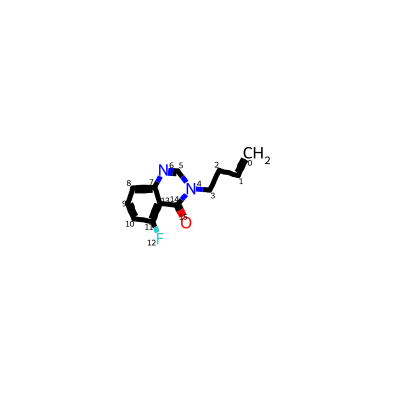 C=CCCn1cnc2cccc(F)c2c1=O